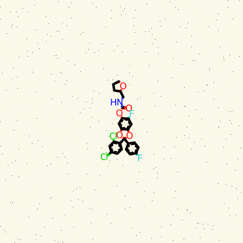 O=C(NCC1CCCO1)Oc1cc2c(cc1F)OC(c1ccc(F)cc1)(c1ccc(Cl)cc1Cl)O2